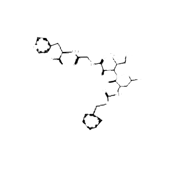 CCC(C)C(NC(=O)C(CC(C)C)NC(=O)OCc1ccccc1)C(=O)C(=O)NCC(=O)NC(Cc1ccncc1)C(N)=O